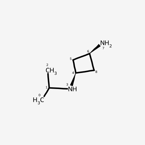 CC(C)N[C@H]1C[C@@H](N)C1